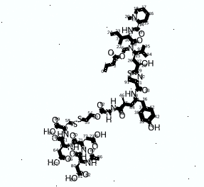 CCCC(=O)OCN(C(=O)[C@@H](NC(=O)[C@H]1CCCCN1C)C(C)CC)[C@H](C[C@@H](O)c1nc(C(=O)N[C@@H](Cc2ccc(O)cc2)C[C@H](C)C(=O)NNC(=O)OCCSSC[C@H](NC(=O)[C@H](CC(=O)O)NC(=O)[C@H](CC(=O)O)NC(=O)[C@H](CC(=O)O)NC(C)=O)C(=O)O)cs1)C(C)C